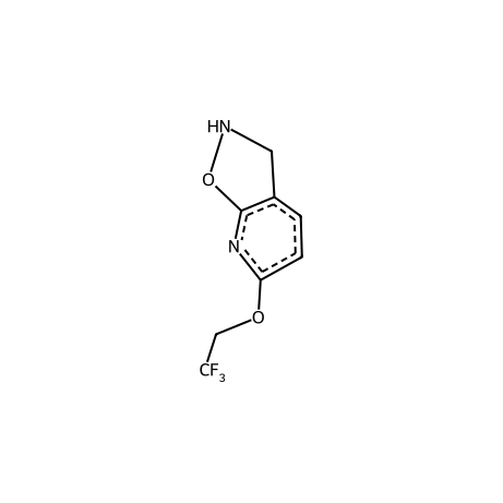 FC(F)(F)COc1ccc2c(n1)ONC2